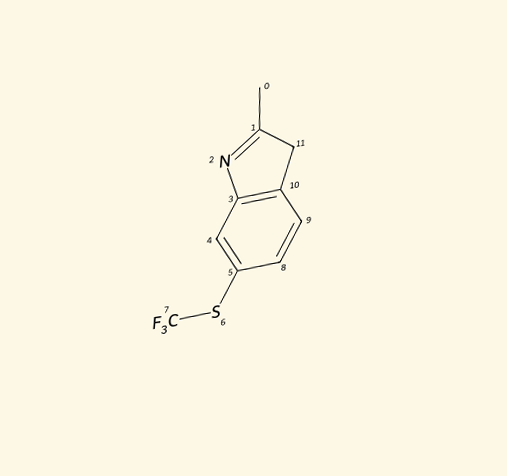 CC1=Nc2cc(SC(F)(F)F)ccc2C1